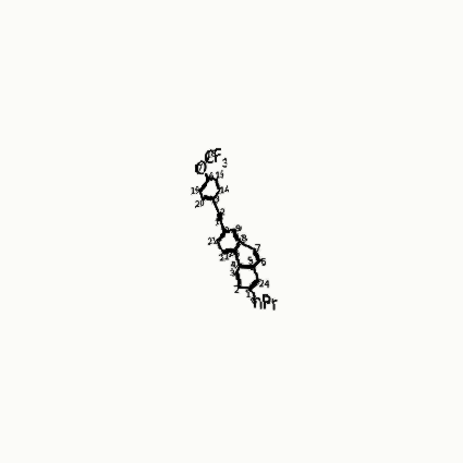 CCCc1ccc2c(ccc3cc(C#Cc4ccc(OC(F)(F)F)cc4)ccc32)c1